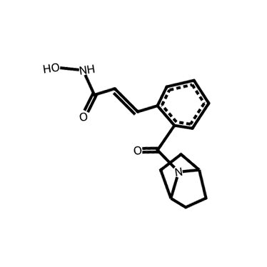 O=C(/C=C/c1ccccc1C(=O)N1C2CCC1CC2)NO